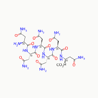 NC(=O)C[C@H](NC(=O)[C@H](CC(N)=O)NC(=O)[C@H](CC(N)=O)NC(=O)[C@H](CC(N)=O)NC(=O)[C@H](CC(N)=O)NC(=O)[C@@H](N)CC(N)=O)C(=O)O